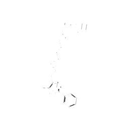 Cc1oc(-c2ccccc2)nc1CCOCCCCSCC(=O)O